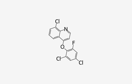 Fc1cc(Cl)cc(Cl)c1Oc1ccnc2c(Cl)cccc12